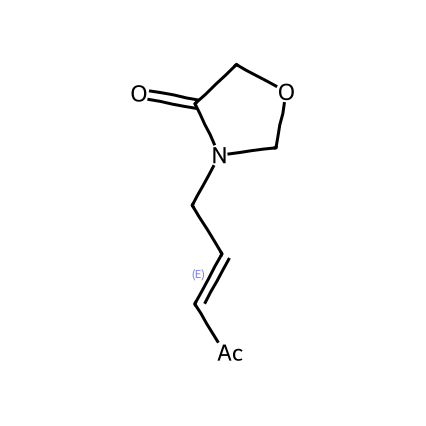 CC(=O)/C=C/CN1COCC1=O